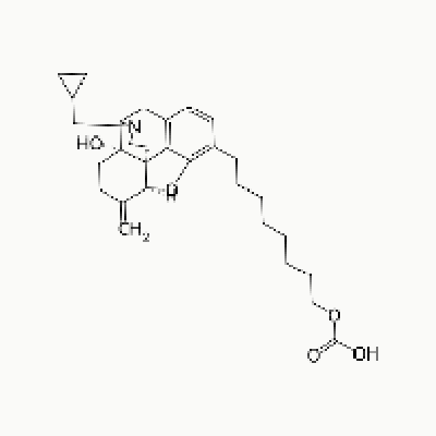 C=C1CC[C@@]2(O)C3Cc4ccc(CCCCCCCCOC(=O)O)c5c4[C@@]2(CCN3CC2CC2)[C@H]1O5